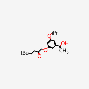 C=C(O)c1cc(OCC(=O)CCC(C)(C)C)cc(OC(C)C)c1